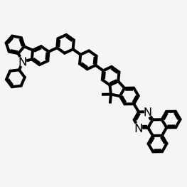 CC1(C)c2cc(C3=CCC(C4C=CC=C(c5ccc6c(c5)c5ccccc5n6C5CC=CCC5)C4)C=C3)ccc2-c2ccc(-c3cnc4c5ccccc5c5ccccc5c4n3)cc21